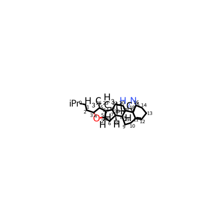 CC(C)CCC1O[C@H]2C[C@H]3[C@@H]4CCC5=CCCC(N)[C@]5(C)[C@H]4CC[C@]3(C)[C@H]2[C@@H]1C